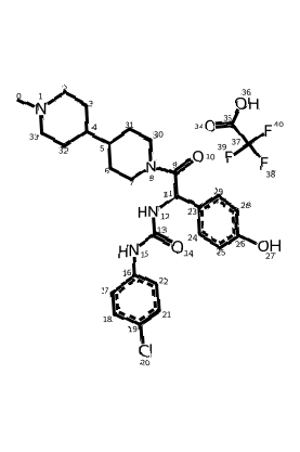 CN1CCC(C2CCN(C(=O)[C@H](NC(=O)Nc3ccc(Cl)cc3)c3ccc(O)cc3)CC2)CC1.O=C(O)C(F)(F)F